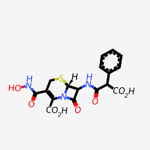 O=C(O)C1=C(C(=O)NO)CS[C@@H]2C(NC(=O)C(C(=O)O)c3ccccc3)C(=O)N12